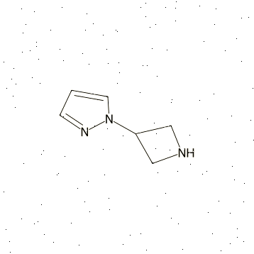 c1cnn(C2CNC2)c1